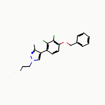 CCc1nn(CCOC)cc1-c1ccc(OCc2ccccc2)c(F)c1F